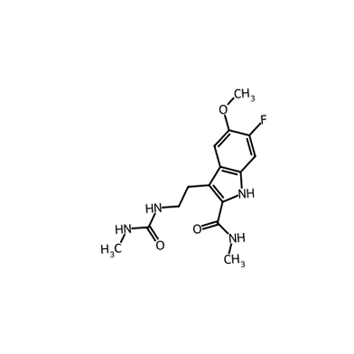 CNC(=O)NCCc1c(C(=O)NC)[nH]c2cc(F)c(OC)cc12